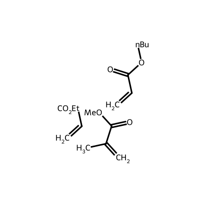 C=C(C)C(=O)OC.C=CC(=O)OCC.C=CC(=O)OCCCC